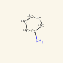 N[13CH]1[13CH2][13CH2][13CH2][13CH2][13CH2]1